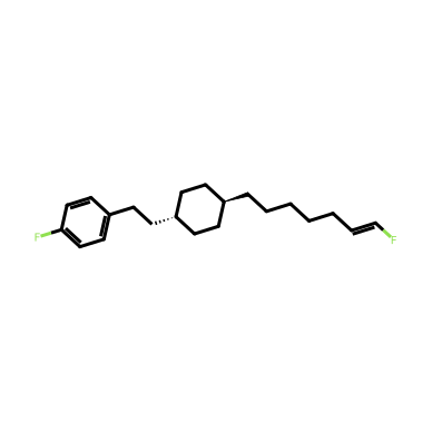 FC=CCCCCC[C@H]1CC[C@H](CCc2ccc(F)cc2)CC1